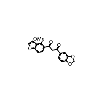 COc1c(C(=O)CC(=O)c2ccc3c(c2)OCO3)ccc2occc12